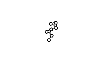 c1ccc(-c2cccc(-n3c4ccccc4c4ccc(-c5cccc6c7cccc8c9ccccc9n(c56)c87)cc43)c2)cc1